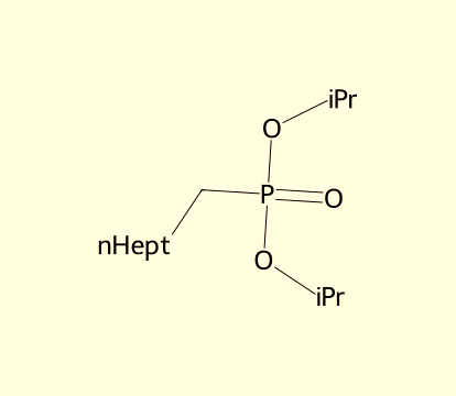 CCCCCCCCP(=O)(OC(C)C)OC(C)C